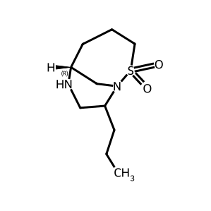 CCCC1CN[C@@H]2CCCS(=O)(=O)N1C2